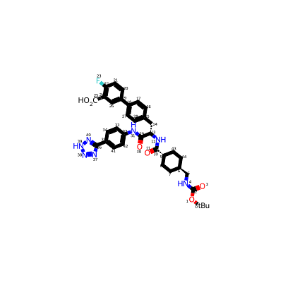 CC(C)(C)OC(=O)NC[C@H]1CC[C@H](C(=O)N[C@@H](Cc2ccc(-c3ccc(F)c(C(=O)O)c3)cc2)C(=O)Nc2ccc(-c3nn[nH]n3)cc2)CC1